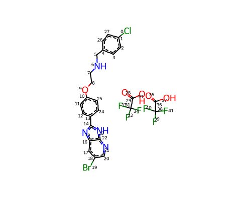 Clc1ccc(CNCCOc2ccc(-c3nc4cc(Br)cnc4[nH]3)cc2)cc1.O=C(O)C(F)(F)F.O=C(O)C(F)(F)F